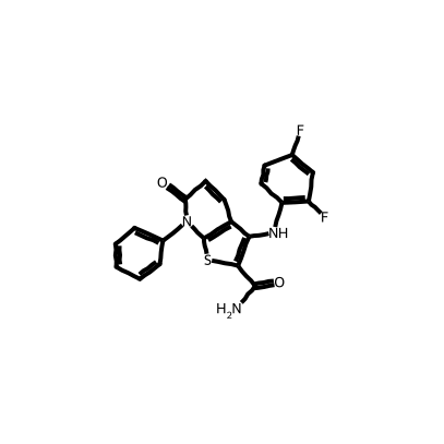 NC(=O)c1sc2c(ccc(=O)n2-c2ccccc2)c1Nc1ccc(F)cc1F